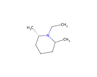 CCN1C(C)CCC[C@@H]1C